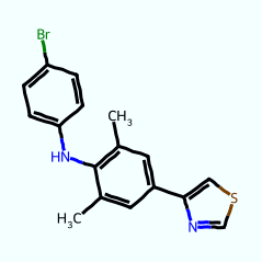 Cc1cc(-c2cscn2)cc(C)c1Nc1ccc(Br)cc1